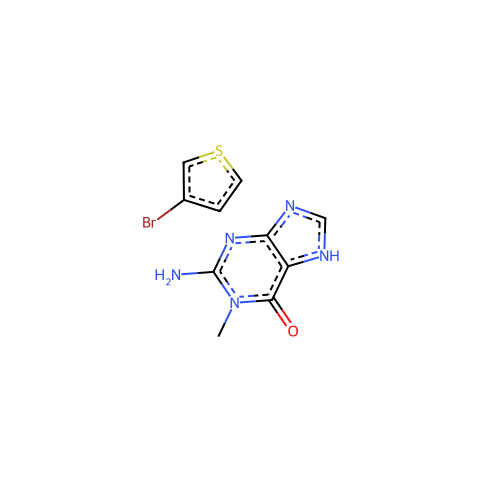 Brc1ccsc1.Cn1c(N)nc2nc[nH]c2c1=O